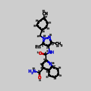 CCc1c(NC(=O)c2cc(C(N)=O)c3ccccc3n2)c(C)nn1Cc1ccc(C#N)cc1